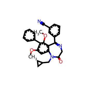 COc1cc2c(c(OC)c1-c1ccccc1)C(c1cccc(C#N)c1)=NCC(=O)N2CC1CC1